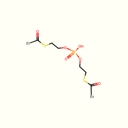 CCC(=O)SCCOP(=O)(O)OCCSC(=O)CC